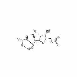 C[C@@]1(c2ccc3c(N)ncnn23)O[C@H](CO[PH](=O)O)[C@@H](O)[C@H]1F